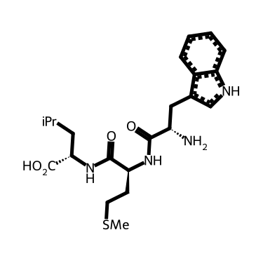 CSCC[C@H](NC(=O)[C@@H](N)Cc1c[nH]c2ccccc12)C(=O)N[C@@H](CC(C)C)C(=O)O